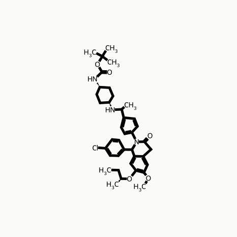 CC[C@@H](C)Oc1cc2c(cc1OC)CC(=O)N(c1ccc(C(C)N[C@H]3CC[C@@H](NC(=O)OC(C)(C)C)CC3)cc1)C2c1ccc(Cl)cc1